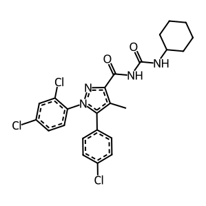 Cc1c(C(=O)NC(=O)NC2CCCCC2)nn(-c2ccc(Cl)cc2Cl)c1-c1ccc(Cl)cc1